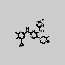 Cc1nc(Nc2ncc(N3CCN[C@H](C)C3)c(Nc3cnn(C)n3)n2)cc(C2CC2)c1F